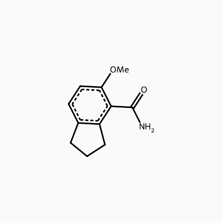 COc1ccc2c(c1C(N)=O)CCC2